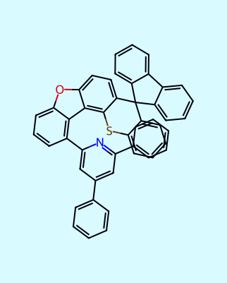 c1ccc(-c2cc(-c3ccccc3)nc(-c3cccc4oc5ccc6c(c5c34)Sc3ccccc3C63c4ccccc4-c4ccccc43)c2)cc1